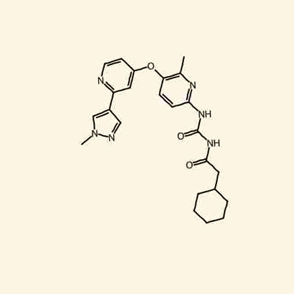 Cc1nc(NC(=O)NC(=O)CC2CCCCC2)ccc1Oc1ccnc(-c2cnn(C)c2)c1